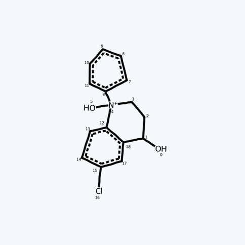 OC1CC[N+](O)(c2ccccc2)c2ccc(Cl)cc21